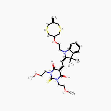 C=C1CSCC(OCCN2/C(=C/C=C3C(=O)N(CCOC)C(=S)N(CCOC)C3=O)C(C)(C)c3ccccc32)CSC1